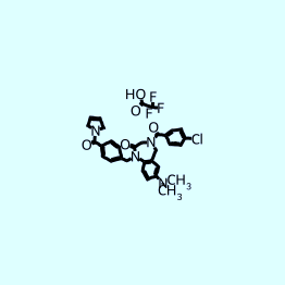 CN(C)c1ccc2c(c1)CN(C(=O)c1ccc(Cl)cc1)CC(=O)N2Cc1ccc(C(=O)N2CC=CC2)cc1.O=C(O)C(F)(F)F